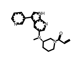 C=CC(=O)N1CCC[C@@H](N(C)c2cnc3[nH]cc(-c4cccnc4)c3c2)C1